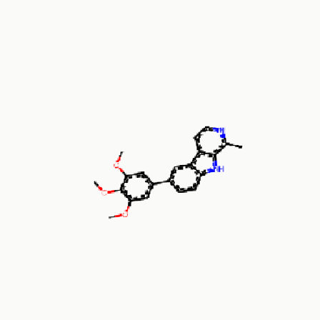 COc1cc(-c2ccc3[nH]c4c(C)nccc4c3c2)cc(OC)c1OC